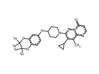 [2H]C1([2H])Oc2ccc(OC3CCN(c4nn5c(=O)ccnc5c(C)c4C4CC4)CC3)cc2OC1([2H])[2H]